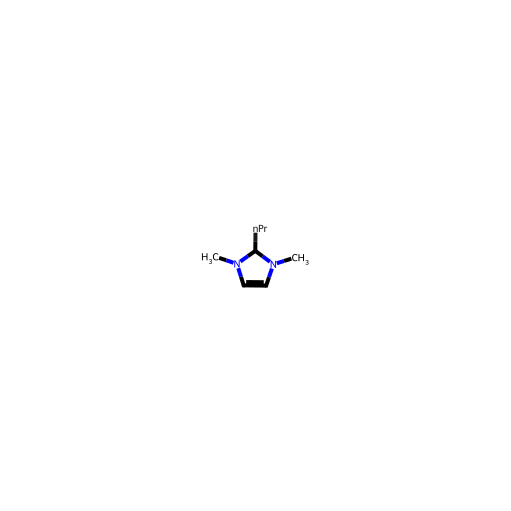 CCCC1N(C)C=CN1C